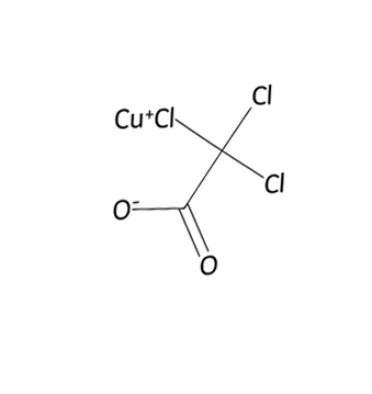 O=C([O-])C(Cl)(Cl)Cl.[Cu+]